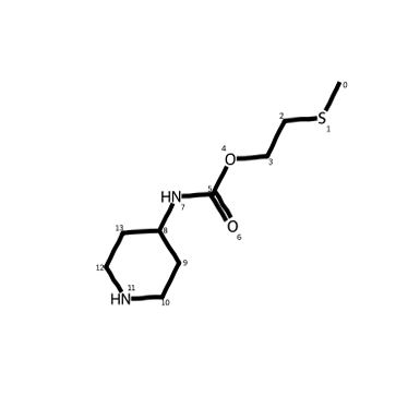 CSCCOC(=O)NC1CCNCC1